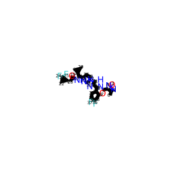 Cc1nonc1C(=O)N[C@H](c1cn2ccc([C@H](NC(=O)C[C@@H]3CC3(F)F)C3CC3)nc2n1)C1CCC(F)(F)CC1